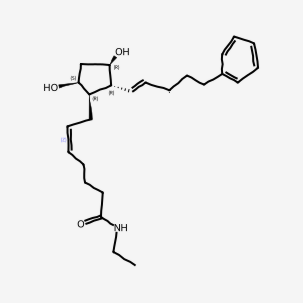 CCNC(=O)CCC/C=C\C[C@@H]1[C@@H](C=C[CH]CCc2ccccc2)[C@H](O)C[C@@H]1O